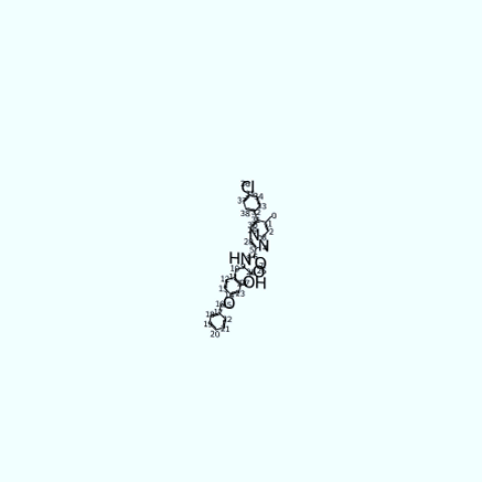 Cc1cc2nc(C(=O)NC(Cc3ccc(OCc4ccccc4)cc3)C(=O)O)cn2cc1-c1ccc(Cl)cc1